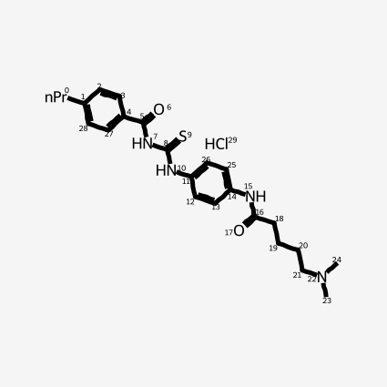 CCCc1ccc(C(=O)NC(=S)Nc2ccc(NC(=O)CCCCN(C)C)cc2)cc1.Cl